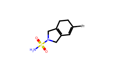 CC(C)C1=CC2=C(CC1)CN(S(N)(=O)=O)C2